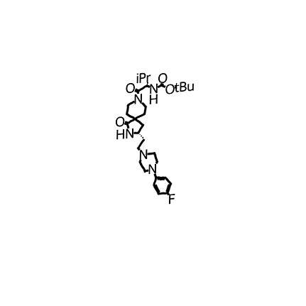 CC(C)[C@H](NC(=O)OC(C)(C)C)C(=O)N1CCC2(CC1)C[C@H](CCN1CCN(c3ccc(F)cc3)CC1)NC2=O